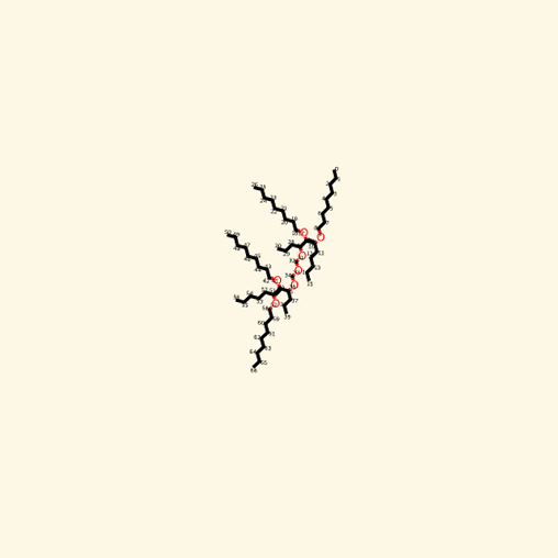 CCCCCCCCCOC(CCCCC)=C(OCCCCCCCCC)C(CCC)OCOCOC(CCC)C(OCCCCCCCCC)=C(CCCCC)OCCCCCCCCC